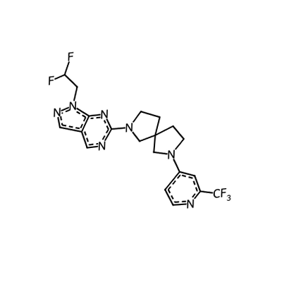 FC(F)Cn1ncc2cnc(N3CCC4(CCN(c5ccnc(C(F)(F)F)c5)C4)C3)nc21